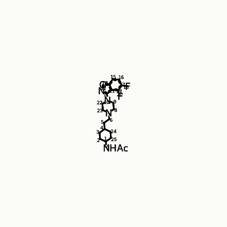 CC(=O)NC1CCC(CCN2CCN(c3noc4ccc(F)c(F)c34)CC2)CC1